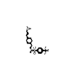 CN(C)CC=CC1CCC(CCN(C)S(=O)(=O)c2ccc(C(F)(F)F)cc2)CC1